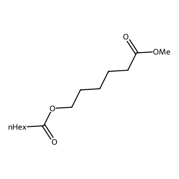 CCCCCCC(=O)OCCCCCC(=O)OC